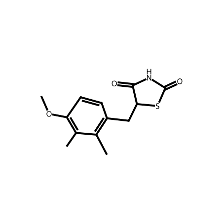 COc1ccc(CC2SC(=O)NC2=O)c(C)c1C